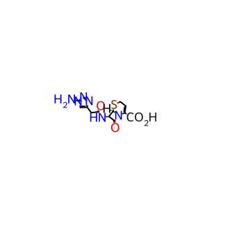 Nn1cc(CC(=O)N[C@@H]2C(=O)N3C(C(=O)O)=CCS[C@H]23)nn1